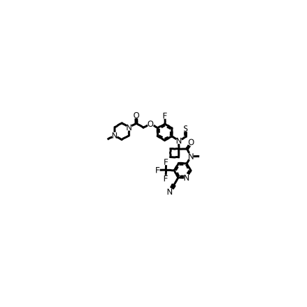 CN1CCN(C(=O)COc2ccc(N(C=S)C3(C(=O)N(C)c4cnc(C#N)c(C(F)(F)F)c4)CCC3)cc2F)CC1